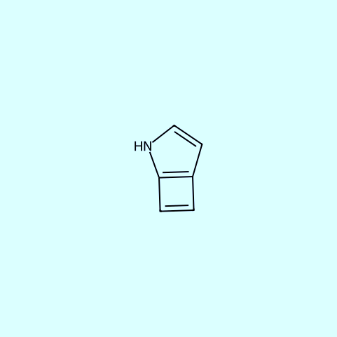 C1=Cc2[nH]ccc21